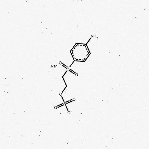 Nc1ccc(S(=O)(=O)CCOS(=O)(=O)[O-])cc1.[Na+]